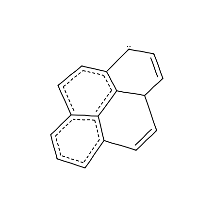 [C]1C=CC2C=Cc3cccc4ccc1c2c34